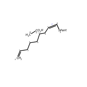 C=CCCCCC/C=C\CCCCC.CC(=O)O